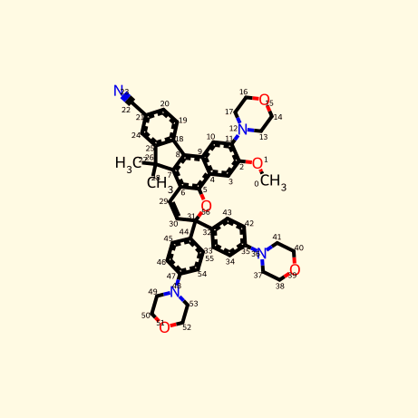 COc1cc2c3c(c4c(c2cc1N1CCOCC1)-c1ccc(C#N)cc1C4(C)C)C=CC(c1ccc(N2CCOCC2)cc1)(c1ccc(N2CCOCC2)cc1)O3